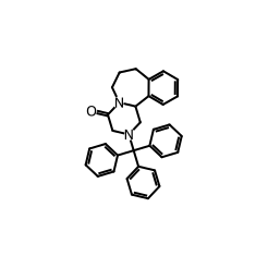 O=C1CN(C(c2ccccc2)(c2ccccc2)c2ccccc2)CC2c3ccccc3CCCN12